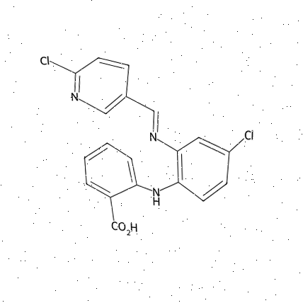 O=C(O)c1ccccc1Nc1ccc(Cl)cc1/N=C/c1ccc(Cl)nc1